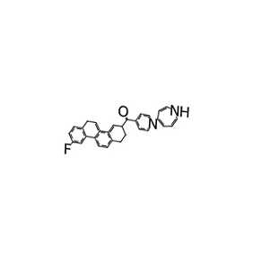 C1=CC=CNC=C1.O=C(c1ccncc1)C1C=c2c(ccc3c2=CCc2ccc(F)cc2-3)CC1